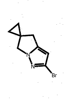 Brc1cc2n(n1)CC1(CC1)C2